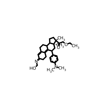 CCOCC(=O)[C@@]1(C)CCC2C3CCC4=C/C(=N/CO)CCC4=C3C(c3ccc(N(C)C)cc3)C[C@@]21C